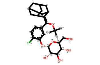 [2H]C([2H])([2H])OC(=C1C2CC3CC(C2)CC1C3)c1ccc(Cl)c(O[C@@H]2OC(CO)[C@H](O)C(O)[C@@H]2O)c1